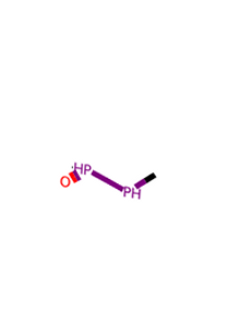 CP[PH]=O